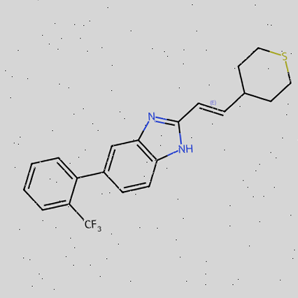 FC(F)(F)c1ccccc1-c1ccc2[nH]c(/C=C/C3CCSCC3)nc2c1